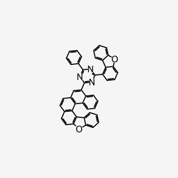 c1ccc(-c2nc(-c3cc4ccc5ccc6oc7ccccc7c6c5c4c4ccccc34)nc(-c3cccc4oc5ccccc5c34)n2)cc1